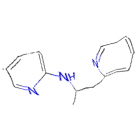 CC(Cc1ccccn1)Nc1cc[c]cn1